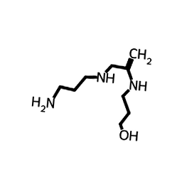 C=C(CNCCCN)NCCCO